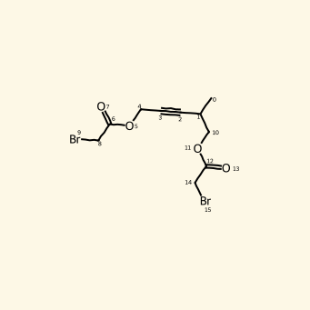 CC(C#CCOC(=O)CBr)COC(=O)CBr